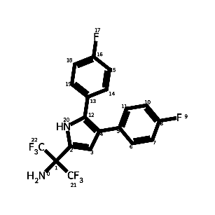 NC(c1cc(-c2ccc(F)cc2)c(-c2ccc(F)cc2)[nH]1)(C(F)(F)F)C(F)(F)F